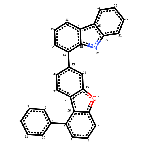 c1ccc(-c2cccc3oc4cc(-c5cccc6c5[nH]c5ccccc56)ccc4c23)cc1